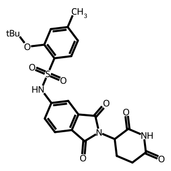 Cc1ccc(S(=O)(=O)Nc2ccc3c(c2)C(=O)N(C2CCC(=O)NC2=O)C3=O)c(OC(C)(C)C)c1